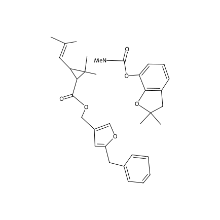 CC(C)=CC1C(C(=O)OCc2coc(Cc3ccccc3)c2)C1(C)C.CNC(=O)Oc1cccc2c1OC(C)(C)C2